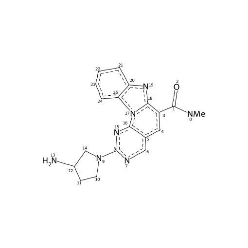 CNC(=O)c1cc2cnc(N3CCC(N)C3)nc2n2c1nc1ccccc12